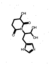 O=C1CCC(O)C(=O)N1C(Cc1cnc[nH]1)C(O)O